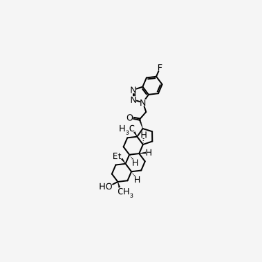 CC[C@]12CC[C@@](C)(O)C[C@@H]1CC[C@H]1[C@@H]3CC[C@H](C(=O)Cn4nnc5cc(F)ccc54)[C@@]3(C)CC[C@@H]12